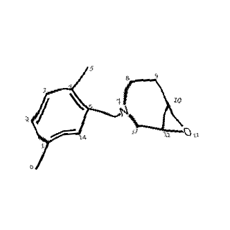 Cc1ccc(C)c(N2CCC3OC3C2)c1